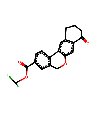 O=C(OC(F)F)c1ccc2c(c1)COc1cc3c(cc1-2)CCCC3=O